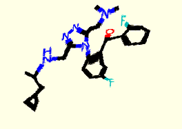 CC(CC1CC1)NCc1nnc(CN(C)C)n1-c1ccc(F)cc1C(=O)c1ccccc1F